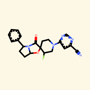 N#Cc1cc(N2CCC3(OC4CCC(c5ccccc5)N4C3=O)C(F)C2)ncn1